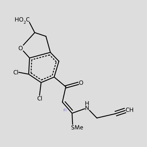 C#CCN/C(=C\C(=O)c1cc2c(c(Cl)c1Cl)OC(C(=O)O)C2)SC